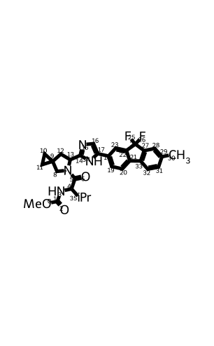 COC(=O)NC(C(=O)N1CC2(CC2)CC1c1ncc(-c2ccc3c(c2)C(F)(F)c2cc(C)ccc2-3)[nH]1)C(C)C